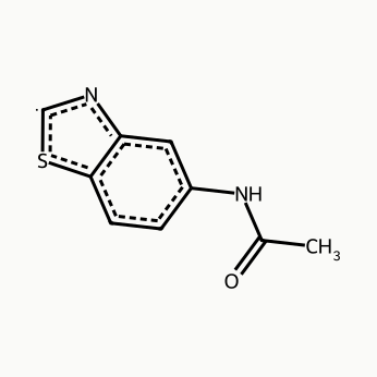 CC(=O)Nc1ccc2s[c]nc2c1